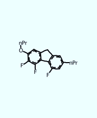 CCCOc1cc2c(c(F)c1F)-c1c(F)cc(CCC)cc1C2